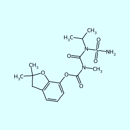 CC(C)N(C(=O)N(C)C(=O)Oc1cccc2c1OC(C)(C)C2)S(N)(=O)=O